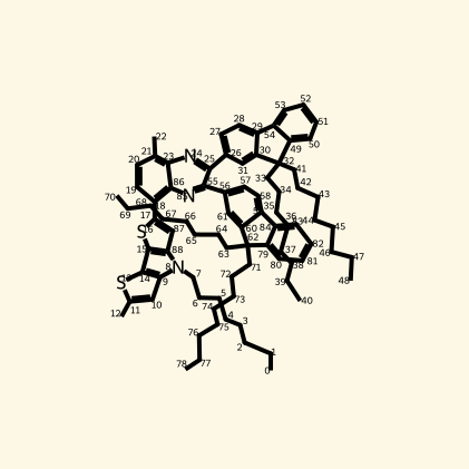 CCCCCCCCn1c2cc(C)sc2c2sc(-c3ccc(C)c4nc(-c5ccc6c(c5)C(CCCCCCCC)(CCCCCCCC)c5ccccc5-6)c(-c5ccc6c(c5)C(CCCCCCCC)(CCCCCCCC)c5ccccc5-6)nc34)cc21